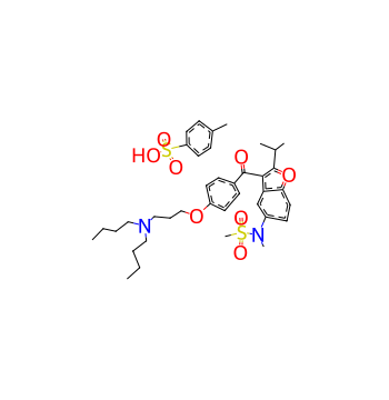 CCCCN(CCCC)CCCOc1ccc(C(=O)c2c(C(C)C)oc3ccc(N(C)S(C)(=O)=O)cc23)cc1.Cc1ccc(S(=O)(=O)O)cc1